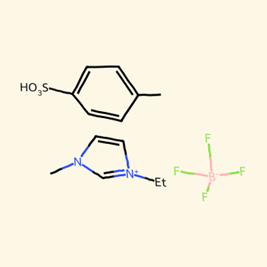 CC[n+]1ccn(C)c1.Cc1ccc(S(=O)(=O)O)cc1.F[B-](F)(F)F